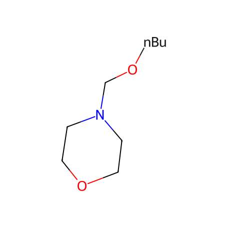 CCCCOCN1CCOCC1